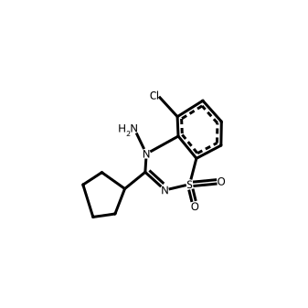 NN1C(C2CCCC2)=NS(=O)(=O)c2cccc(Cl)c21